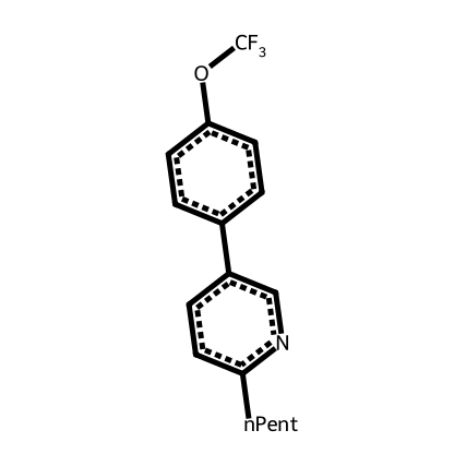 CCCCCc1ccc(-c2ccc(OC(F)(F)F)cc2)cn1